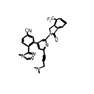 CN(C)CC#Cc1cc(-c2cc(C#N)ccc2-c2nncn2C)cc(N2Cc3c(cccc3C(F)(F)F)C2=O)n1